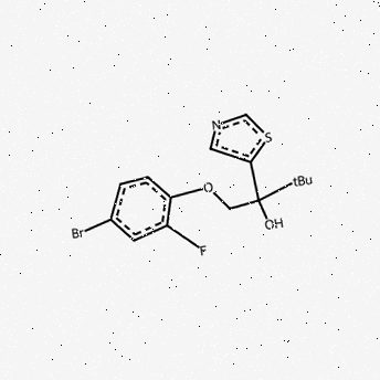 CC(C)(C)C(O)(COc1ccc(Br)cc1F)c1cncs1